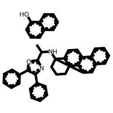 CC(NC12CCCc3c1ccc1c3c2cc2ccccc21)c1nc(-c2ccccc2)c(-c2ccccc2)o1.Oc1cccc2ccccc12